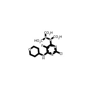 O=C(O)N(C(=O)O)N(C(=O)O)c1nc(Cl)nc(NC2CCOCC2)c1F